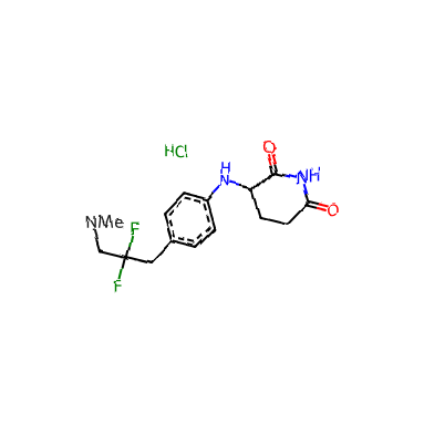 CNCC(F)(F)Cc1ccc(NC2CCC(=O)NC2=O)cc1.Cl